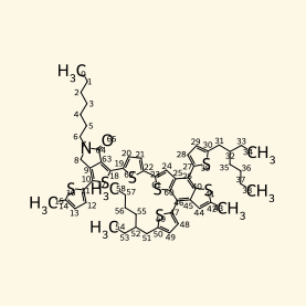 CCCCCCCN1Cc2c(-c3ccc(C)s3)sc(-c3ccc(-c4cc5c(-c6ccc(CC(CC)CCCC)s6)c6sc(C)cc6c(-c6ccc(CC(CC)CCCC)s6)c5s4)s3)c2C1=O